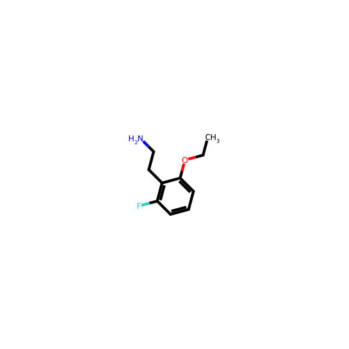 CCOc1cccc(F)c1CCN